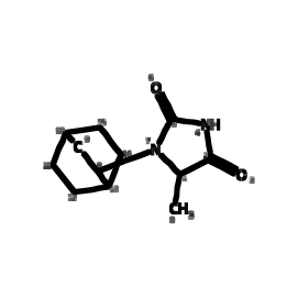 CC1C(=O)NC(=O)N1C1CC2CCC1CC2